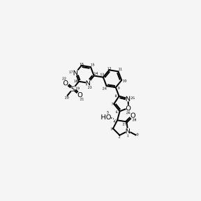 CN1CC[C@@](O)(c2cc(-c3cccc(-c4ccnc(S(C)(=O)=O)n4)c3)no2)C1=O